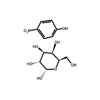 O=[N+]([O-])c1ccc(O)cc1.OC[C@H]1O[C@H](O)[C@H](O)[C@@H](O)[C@H]1O